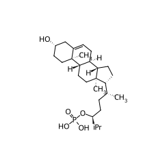 CC(C)[C@H](CC[C@@H](C)[C@H]1CC[C@H]2[C@@H]3CC=C4C[C@@H](O)CC[C@]4(C)[C@H]3CC[C@]12C)OP(=O)(O)O